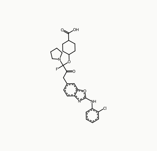 O=C(O)C1CCC(OC(F)(C(=O)Cc2ccc3nc(Nc4ccccc4Cl)oc3c2)N2CCCC2)CC1